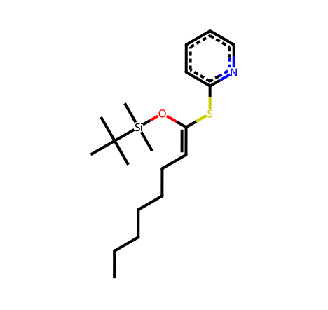 CCCCCC/C=C(\O[Si](C)(C)C(C)(C)C)Sc1ccccn1